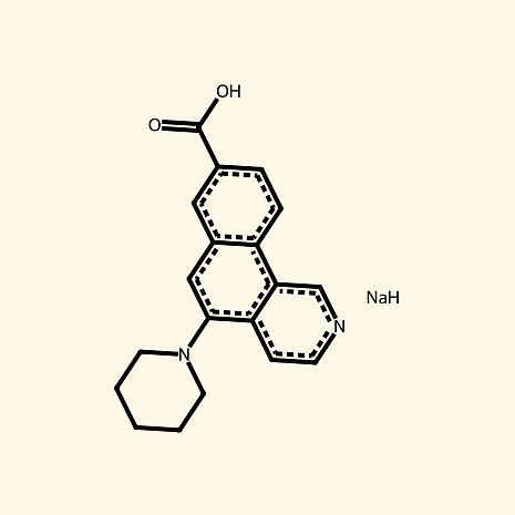 O=C(O)c1ccc2c(c1)cc(N1CCCCC1)c1ccncc12.[NaH]